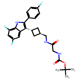 CC(C)(C)OC(=O)NCC(=O)NC[C@H]1C[C@H](c2c(-c3ccc(F)cc3)[nH]c3c(F)cc(F)cc32)C1